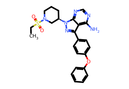 CCS(=O)(=O)N1CCC[C@@H](n2nc(-c3ccc(Oc4ccccc4)cc3)c3c(N)ncnc32)C1